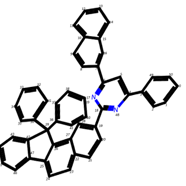 c1ccc(-c2cc(-c3ccc4ccccc4c3)nc(-c3ccc4ccc5c(c4c3)C(c3ccccc3)(c3ccccc3)c3ccccc3-5)n2)cc1